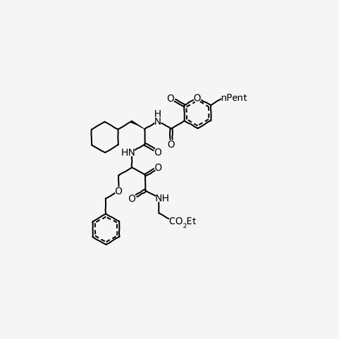 CCCCCc1ccc(C(=O)N[C@H](CC2CCCCC2)C(=O)NC(COCc2ccccc2)C(=O)C(=O)NCC(=O)OCC)c(=O)o1